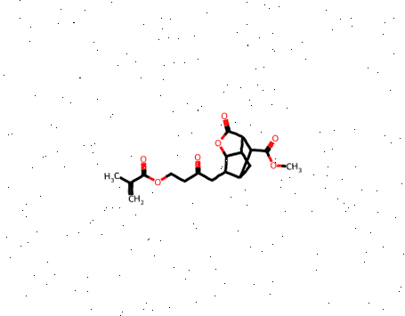 C=C(C)C(=O)OCCC(=O)CC1C2CC3C1OC(=O)C3C2C(=O)OC